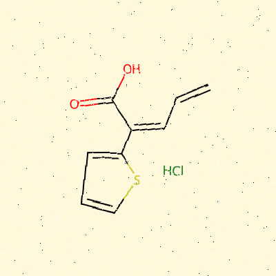 C=CC=C(C(=O)O)c1cccs1.Cl